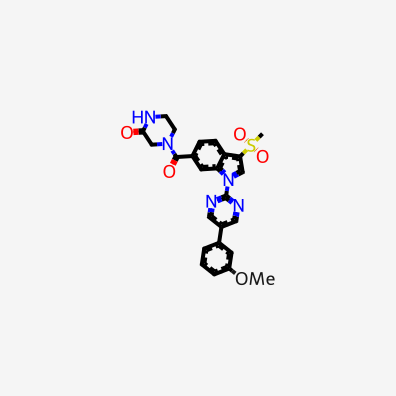 COc1cccc(-c2cnc(-n3cc(S(C)(=O)=O)c4ccc(C(=O)N5CCNC(=O)C5)cc43)nc2)c1